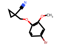 COc1cc(Br)ccc1OCC1(C#N)CC1